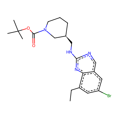 CCc1cc(Br)cc2cnc(NC[C@@H]3CCCN(C(=O)OC(C)(C)C)C3)nc12